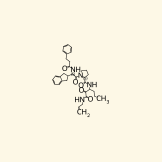 C=CCNC(=O)C(=O)C(CCC)NC(=O)[C@@H]1CCCN1C(=O)[C@@H](NC(=O)CCc1ccccc1)C1Cc2ccccc2C1